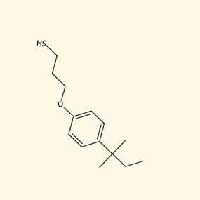 CCC(C)(C)c1ccc(OCCCS)cc1